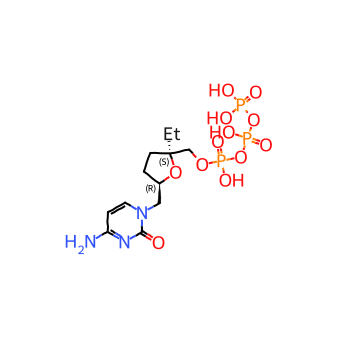 CC[C@@]1(COP(=O)(O)OP(=O)(O)OP(=O)(O)O)CC[C@H](Cn2ccc(N)nc2=O)O1